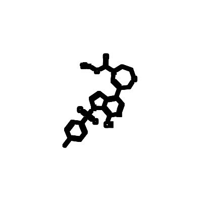 Cc1ccc(S(=O)(=O)n2ccc3c(C4=CN(C(=O)OC(C)(C)C)CCOC4)cnc(C#N)c32)cc1